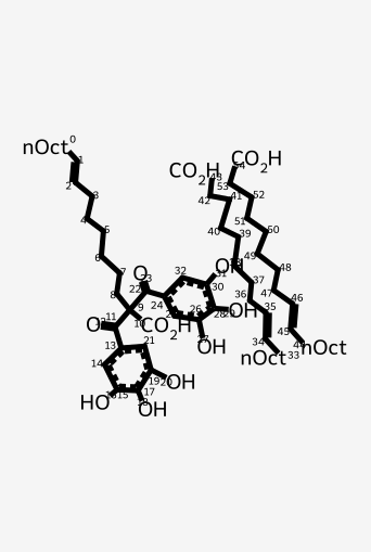 CCCCCCCCC=CCCCCCCC(C(=O)O)(C(=O)c1cc(O)c(O)c(O)c1)C(=O)c1cc(O)c(O)c(O)c1.CCCCCCCCC=CCCCCCCCC(=O)O.CCCCCCCCC=CCCCCCCCC(=O)O